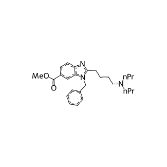 CCCN(CCC)CCCCc1nc2ccc(C(=O)OC)cc2n1Cc1ccccc1